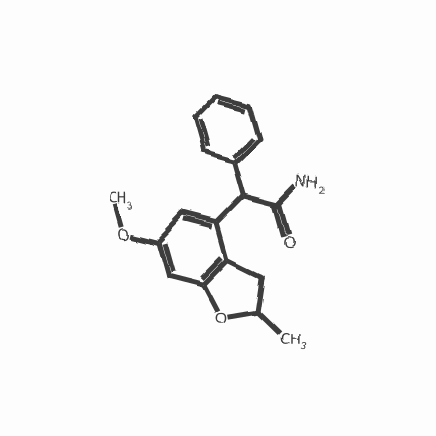 COc1cc2c(c(C(C(N)=O)c3ccccc3)c1)CC(C)O2